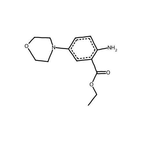 CCOC(=O)c1cc(N2CCOCC2)ccc1N